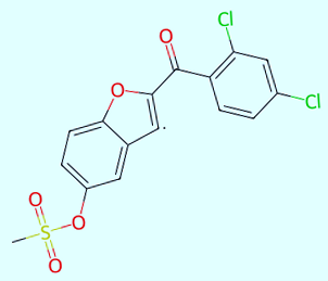 CS(=O)(=O)Oc1ccc2oc(C(=O)c3ccc(Cl)cc3Cl)[c]c2c1